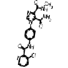 CNC(=O)c1ncn(-c2ccc(NC(=O)c3ncccc3Cl)cc2)c1C(N)=O